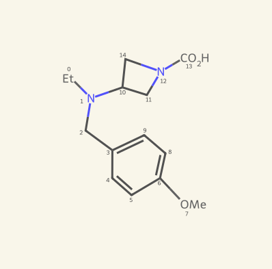 CCN(Cc1ccc(OC)cc1)C1CN(C(=O)O)C1